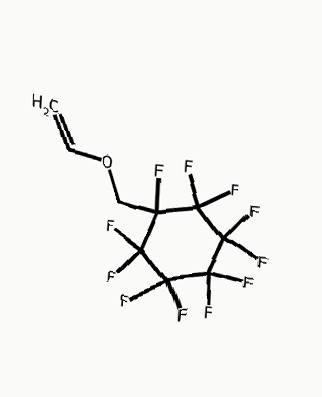 C=COCC1(F)C(F)(F)C(F)(F)C(F)(F)C(F)(F)C1(F)F